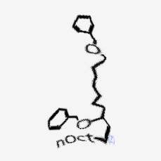 CCCCCCCC/C=C\C(CCCCCCCOCc1ccccc1)OCc1ccccc1